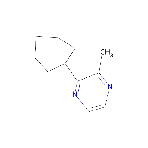 Cc1nccnc1C1CCCCC1